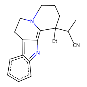 CCC1(C(C)C#N)CCCN2CCC3=c4ccccc4=NC3=C21